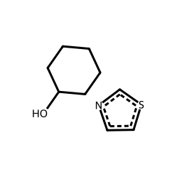 OC1CCCCC1.c1cscn1